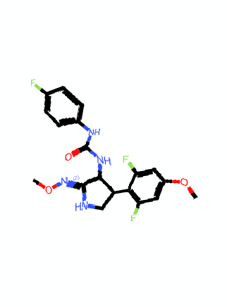 CO/N=C1\NCC(c2c(F)cc(OC)cc2F)C1NC(=O)Nc1ccc(F)cc1